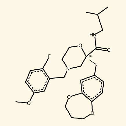 COc1ccc(F)c(CN2CCO[C@@](Cc3ccc4c(c3)OCCCO4)(C(=O)NCC(C)C)C2)c1